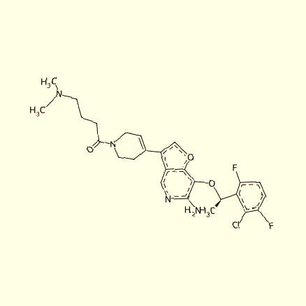 C[C@@H](Oc1c(N)ncc2c(C3=CCN(C(=O)CCCN(C)C)CC3)coc12)c1c(F)ccc(F)c1Cl